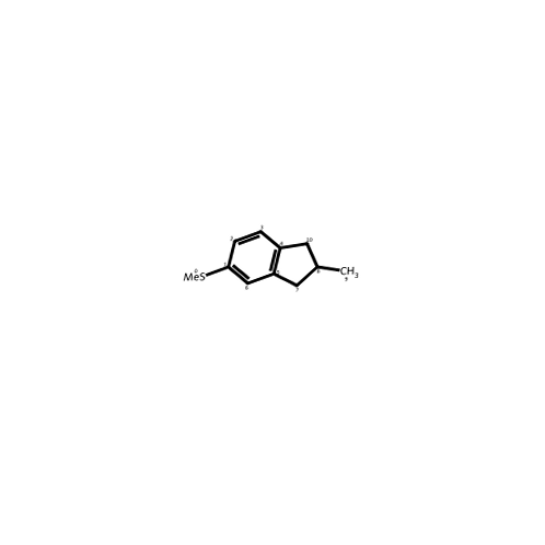 CSc1ccc2c(c1)CC(C)C2